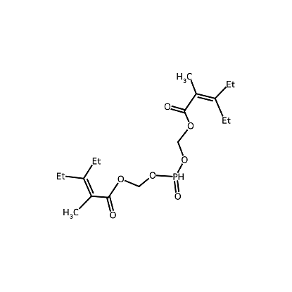 CCC(CC)=C(C)C(=O)OCO[PH](=O)OCOC(=O)C(C)=C(CC)CC